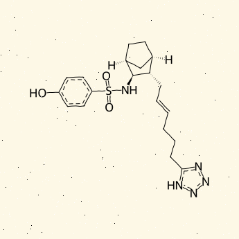 O=S(=O)(N[C@H]1[C@H]2CC[C@H](C2)[C@@H]1CC=CCCCc1nnn[nH]1)c1ccc(O)cc1